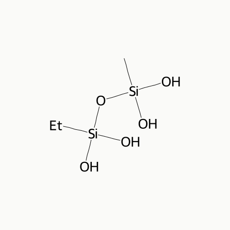 CC[Si](O)(O)O[Si](C)(O)O